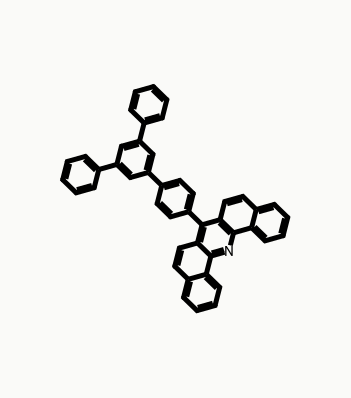 c1ccc(-c2cc(-c3ccccc3)cc(-c3ccc(-c4c5ccc6ccccc6c5nc5c4ccc4ccccc45)cc3)c2)cc1